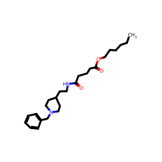 CCCCCCOC(=O)CCCC(=O)NCCC1CCN(Cc2ccccc2)CC1